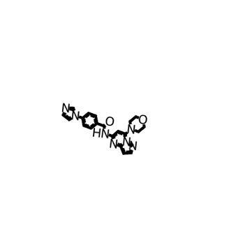 O=C(Nc1cc(N2CCOCC2)n2nccc2n1)c1ccc(-n2ccnc2)cc1